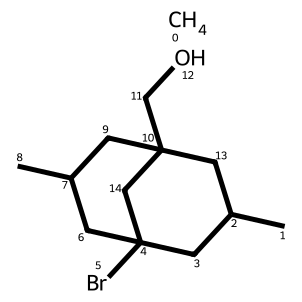 C.CC1CC2(Br)CC(C)CC(CO)(C1)C2